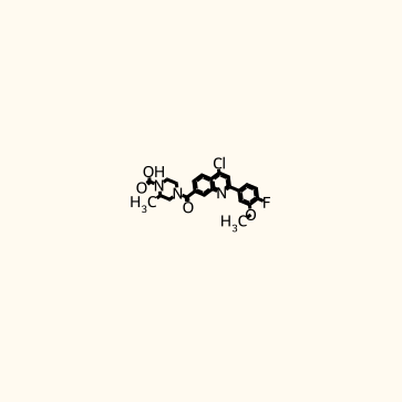 COc1cc(-c2cc(Cl)c3ccc(C(=O)N4CCN(C(=O)O)C(C)C4)cc3n2)ccc1F